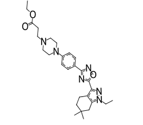 CCOC(=O)CCN1CCN(c2ccc(-c3noc(-c4nn(CC)c5c4CCC(C)(C)C5)n3)cc2)CC1